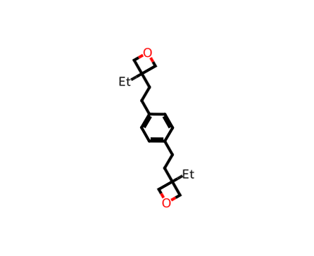 CCC1(CCc2ccc(CCC3(CC)COC3)cc2)COC1